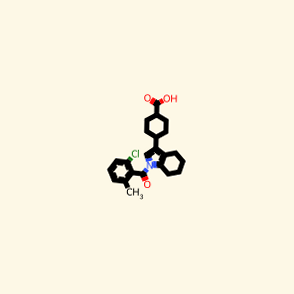 Cc1cccc(Cl)c1C(=O)n1cc(C2CCC(C(=O)O)CC2)c2c1CCCC2